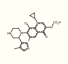 Cc1cscc1C1CNCCN1c1c(F)cc2c(=O)c(OC(=O)O)cn(C3CC3)c2c1Cl